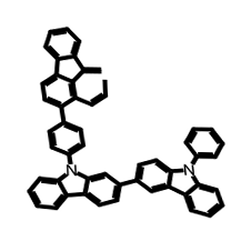 C=C1c2ccccc2-c2ccc(-c3ccc(-n4c5ccccc5c5ccc(-c6ccc7c(c6)c6ccccc6n7-c6ccccc6)cc54)cc3)c(/C=C\C)c21